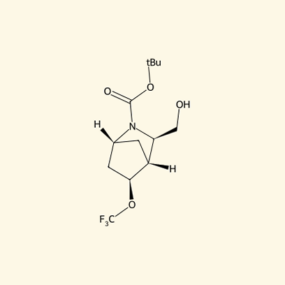 CC(C)(C)OC(=O)N1[C@@H]2C[C@@H]([C@@H](OC(F)(F)F)C2)[C@@H]1CO